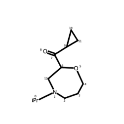 CC(C)N1CCCOC(C(=O)C2CC2)C1